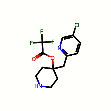 O=C(OC1(Cc2ccc(Cl)cn2)CCNCC1)C(F)(F)F